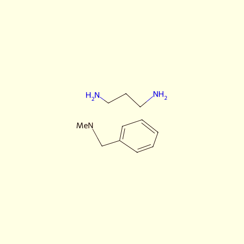 CNCc1ccccc1.NCCCN